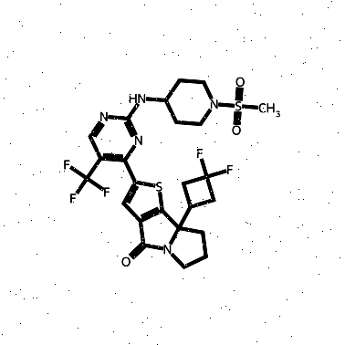 CS(=O)(=O)N1CCC(Nc2ncc(C(F)(F)F)c(-c3cc4c(s3)C3(C5CC(F)(F)C5)CCCN3C4=O)n2)CC1